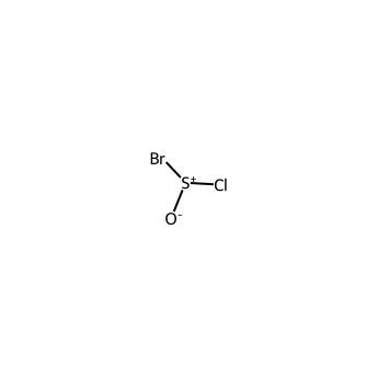 [O-][S+](Cl)Br